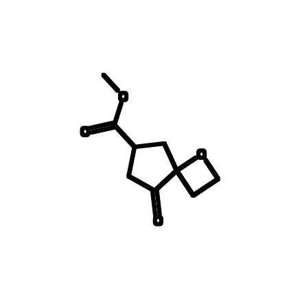 COC(=O)C1CC(=O)C2(CCO2)C1